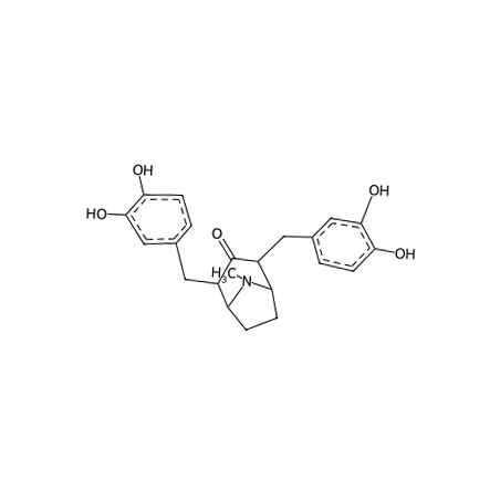 CN1C2CCC1C(Cc1ccc(O)c(O)c1)C(=O)C2Cc1ccc(O)c(O)c1